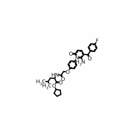 CC(C)CC(NC(=O)COc1ccc(-n2c(N)c(C(=O)c3ccc(F)cc3)ccc2=O)cc1)C(=O)OC1CCCC1